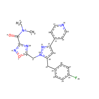 CN(C)C(=O)c1noc(Cn2nc(-c3ccncc3)cc2Cc2ccc(F)cc2)n1